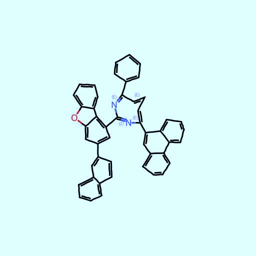 C1=C/C(c2ccccc2)=N\C(c2cc(-c3ccc4ccccc4c3)cc3oc4ccccc4c23)=N/C(c2cc3ccccc3c3ccccc23)=C/1